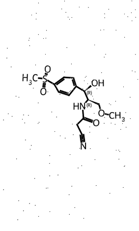 COC[C@@H](NC(=O)CC#N)[C@H](O)c1ccc(S(C)(=O)=O)cc1